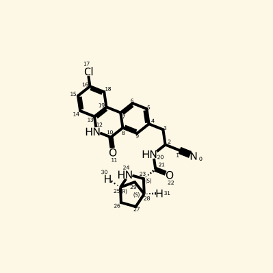 N#CC(Cc1ccc2c(c1)c(=O)[nH]c1ccc(Cl)cc12)NC(=O)[C@H]1N[C@@H]2CC[C@H]1C2